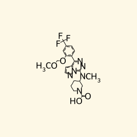 COCOc1cc(C(F)(F)F)ccc1-c1nnc(N(C)C2CCCN(C(=O)O)C2)n2nccc12